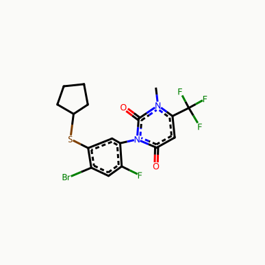 Cn1c(C(F)(F)F)cc(=O)n(-c2cc(SC3CCCC3)c(Br)cc2F)c1=O